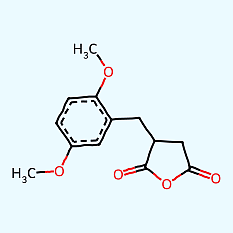 COc1ccc(OC)c(CC2CC(=O)OC2=O)c1